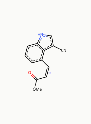 COC(=O)/C=C\c1cccc2[nH]cc(C#N)c12